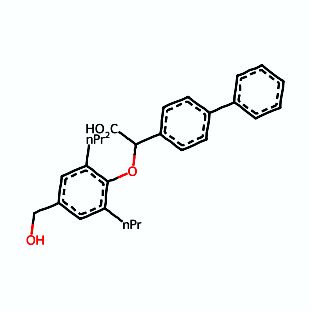 CCCc1cc(CO)cc(CCC)c1OC(C(=O)O)c1ccc(-c2ccccc2)cc1